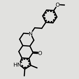 COc1ccc(CCN2CCC3Cc4[nH]c(C)c(C)c4C(=O)C3C2)cc1